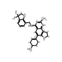 Cc1nc(NCc2cccc3c2OCC3(F)F)c2cc(C3=CCC(O)CC3)c3c(c2n1)CCO3